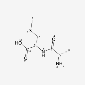 C[C@H](N)C(=O)N[C@@H](CSI)C(=O)O